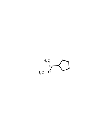 CO[C@H](C)C1CCCC1